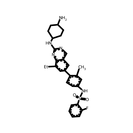 CCc1cc(-c2ccc(NS(=O)(=O)c3ccccc3F)cc2C)cc2cnc(NC3CCC(N)CC3)nc12